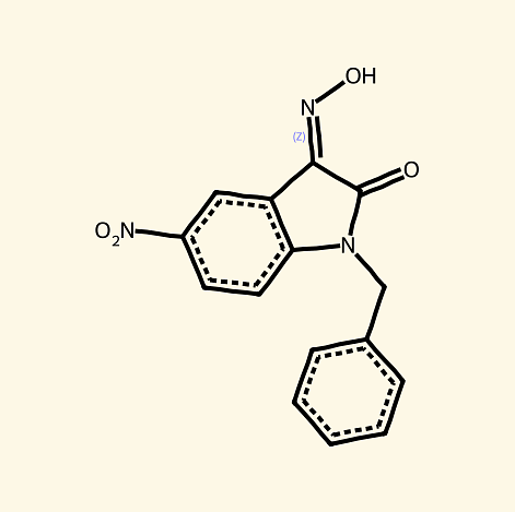 O=C1/C(=N\O)c2cc([N+](=O)[O-])ccc2N1Cc1ccccc1